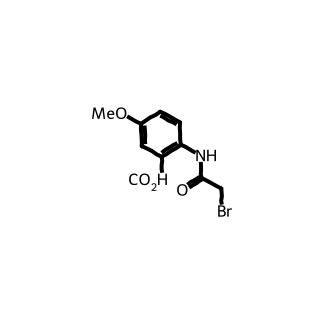 COc1ccc(NC(=O)CBr)c(C(=O)O)c1